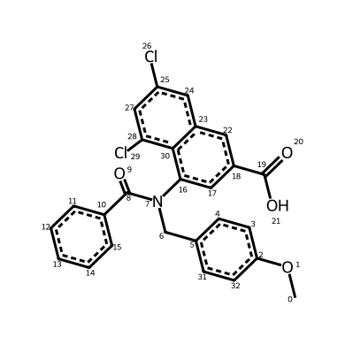 COc1ccc(CN(C(=O)c2ccccc2)c2cc(C(=O)O)cc3cc(Cl)cc(Cl)c23)cc1